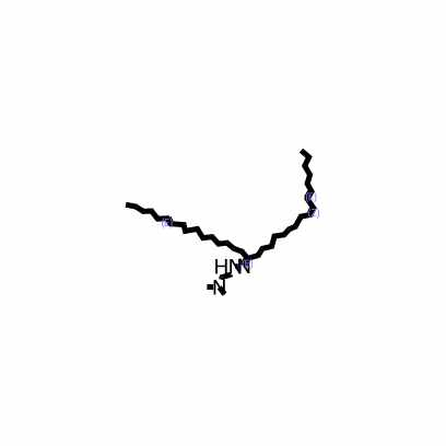 CCCCC/C=C/C=C\CCCCCCCC/C(CCCCCCCCC/C=C/CCCCC)=N/NCCN(C)C